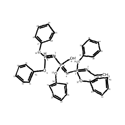 CCN=P(N=P(O)(N=[PH](Oc1ccccc1)Oc1ccccc1)Oc1ccccc1)(Oc1ccccc1)Oc1ccccc1